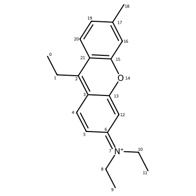 CCc1c2ccc(=[N+](CC)CC)cc-2oc2cc(C)ccc12